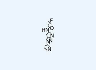 CC(C)(F)CC(=O)Nc1cnc2nn(-c3cccnc3)cc2c1